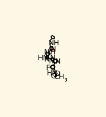 CS(=O)(=O)NCc1cc(F)cc(-c2cncc3[nH]c(-c4n[nH]c5cnc(-c6cncc(CNCC7CCCC7)c6)cc45)nc23)c1